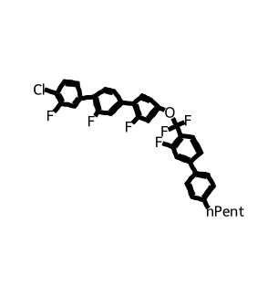 CCCCCc1ccc(-c2ccc(C(F)(F)Oc3ccc(-c4ccc(-c5ccc(Cl)c(F)c5)c(F)c4)c(F)c3)c(F)c2)cc1